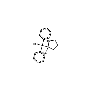 CC1(C(O)(c2ccccc2)c2ccccc2)CCCN1